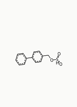 O=[SH](=O)OCc1ccc(-c2ccccc2)cc1